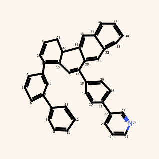 C1=CC(c2cccc(-c3ccccc3)c2)=C2C=C(c3ccc(-c4cccnc4)cc3)c3cc4ccccc4cc3C2C1